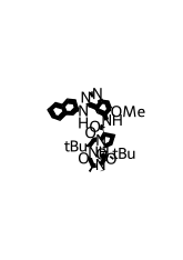 COc1cc2ncnc(Nc3ccc4ccccc4c3)c2cc1NC(=O)[C@@H]1CCCN1C(=O)[C@@H](NC(=O)[C@H](C)N(C)C(=O)OC(C)(C)C)C(C)(C)C